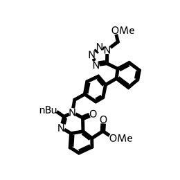 CCCCc1nc2cccc(C(=O)OC)c2c(=O)n1Cc1ccc(-c2ccccc2-c2nnnn2COC)cc1